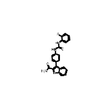 NC(=O)c1[nH]c2ccccc2c1-c1ccc(NC(=O)Nc2ccccc2F)cc1